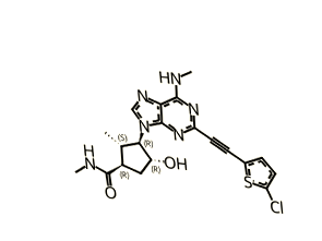 CNC(=O)[C@@H]1C[C@@H](O)[C@H](n2cnc3c(NC)nc(C#Cc4ccc(Cl)s4)nc32)[C@H]1C